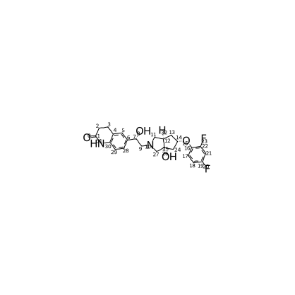 O=C1CCc2cc([C@H](O)CN3C[C@H]4C[C@H](Oc5ccc(F)cc5F)C[C@@]4(O)C3)ccc2N1